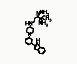 CN(N)/C(CCNC1CCN(c2cccc(-c3cc4ccccc4[nH]3)c2)CC1)=N\N